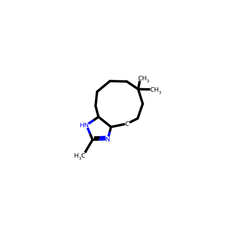 CC1=NC2CCCC(C)(C)CCCCC2N1